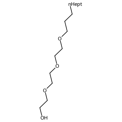 CCCCCCCCCCOCCOCCOCCO